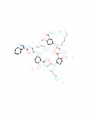 COc1ccc(NC(=O)[C@H](CCCCCN)NC(=O)c2cc(NC(=O)[C@H](CCCCN)NC(=O)c3cc(NC(=O)[C@H](CCCCN)NC(=O)c4c[nH]c5ccccc45)ccc3OC)ccc2OC)cc1C(N)=O